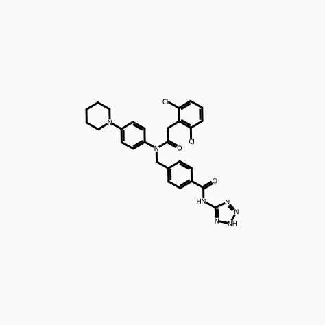 O=C(Nc1nn[nH]n1)c1ccc(CN(C(=O)Cc2c(Cl)cccc2Cl)c2ccc(N3CCCCC3)cc2)cc1